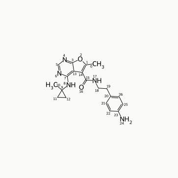 Cc1oc2ncnc(NC3(C)CC3)c2c1C(=O)NCCc1ccc(N)cc1